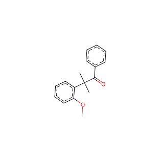 COc1ccccc1C(C)(C)C(=O)c1ccccc1